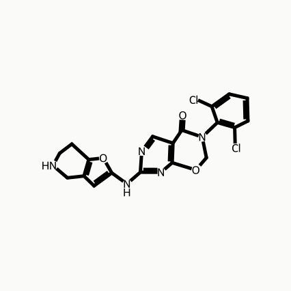 O=C1c2cnc(Nc3cc4c(o3)CCNC4)nc2OCN1c1c(Cl)cccc1Cl